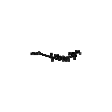 CCCCCCCCOCCCCCCCNC(=O)[C@@H](N)Cc1ccc(OP(=O)(O)CO[C@H](CO)Cn2ccc(N)nc2=O)cc1